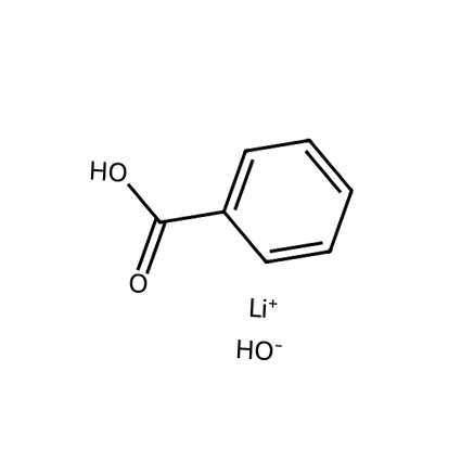 O=C(O)c1ccccc1.[Li+].[OH-]